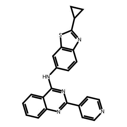 c1ccc2c(Nc3ccc4nc(C5CC5)sc4c3)nc(-c3ccncc3)nc2c1